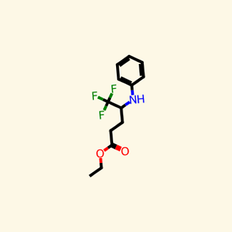 CCOC(=O)CCC(Nc1ccccc1)C(F)(F)F